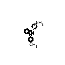 Cc1ccc(-n2nc(N3CCN(C)CC3)c3ccccc32)cc1